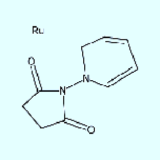 O=C1CCC(=O)N1N1C=CC=CC1.[Ru]